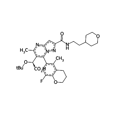 Cc1nc2cc(C(=O)NCCC3CCOCC3)nn2c(-c2cc(F)c3c(c2C)CCCO3)c1[C@H](OC(C)(C)C)C(=O)O